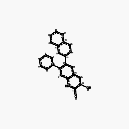 O=c1[nH]c2nc(-c3ccccc3)c(-c3ccc4ncccc4c3)cc2cc1O